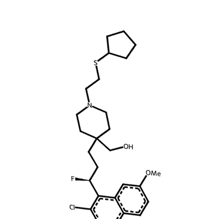 COc1ccc2ncc(Cl)c([C@@H](F)CCC3(CO)CCN(CCSC4CCCC4)CC3)c2c1